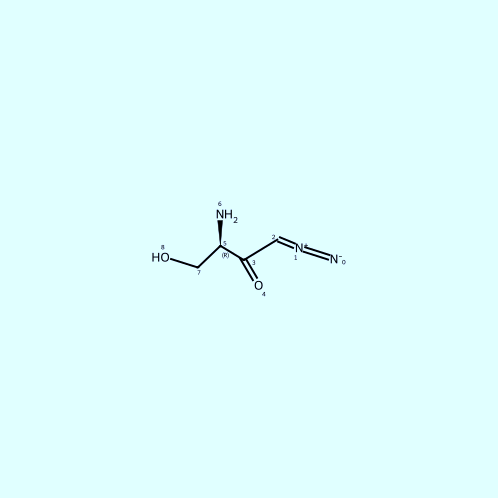 [N-]=[N+]=CC(=O)[C@H](N)CO